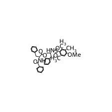 COc1cc(C)c(S(=O)(=O)NC(COC(=O)C(Cc2ccccc2)NC(=O)c2ccccc2)Cc2ccccc2)c(C)c1C